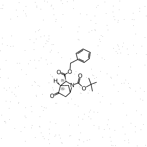 CC(C)(C)OC(=O)N1C2CC(=O)[C@@H](C2)[C@H]1C(=O)OCc1ccccc1